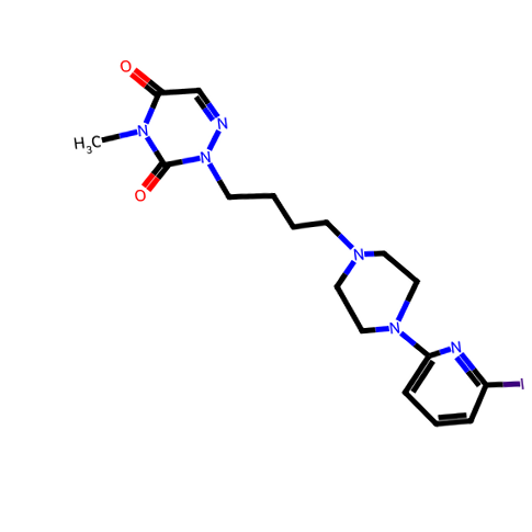 Cn1c(=O)cnn(CCCCN2CCN(c3cccc(I)n3)CC2)c1=O